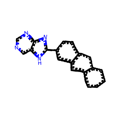 c1ccc2cc3cc(-c4nc5ncncc5[nH]4)ccc3cc2c1